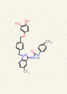 Cc1ccc(NC(=O)Nc2nn(Cc3ccc(COc4ccc(O)c(O)c4)cc3)c3ccc(C(F)(F)F)cc23)cc1